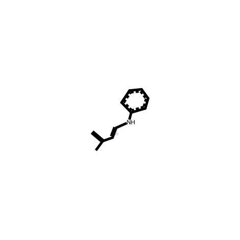 C=C(C)/C=C/Nc1ccccc1